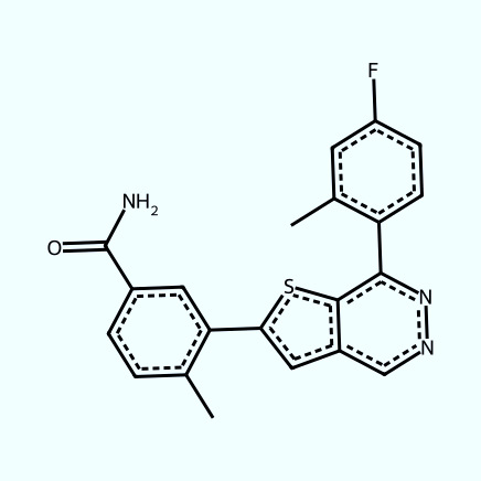 Cc1ccc(C(N)=O)cc1-c1cc2cnnc(-c3ccc(F)cc3C)c2s1